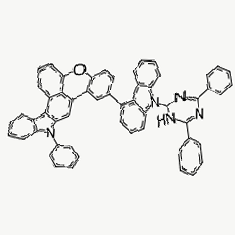 c1ccc(C2=NC(n3c4ccccc4c4c(-c5ccc6c(c5)-c5cc7c(c8cccc(c58)O6)c5ccccc5n7-c5ccccc5)cccc43)NC(c3ccccc3)=N2)cc1